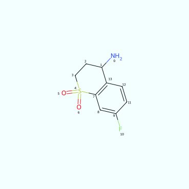 NC1CCS(=O)(=O)c2cc(F)ccc21